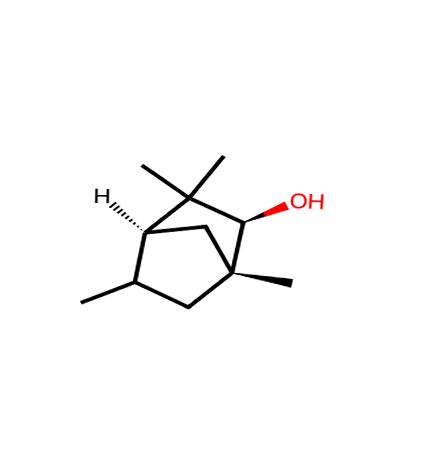 CC1C[C@]2(C)C[C@@H]1C(C)(C)[C@H]2O